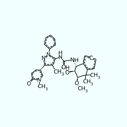 CO[C@H]1[C@@H](O)[C@H](NC(=O)Nc2c(C)c(-c3ccc(=O)n(C)c3)nn2-c2ccccc2)c2ccccc2C1(C)C